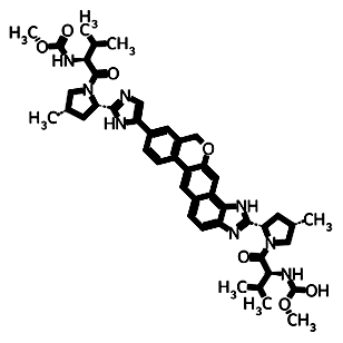 COC(=O)N[C@H](C(=O)N1C[C@@H](C)C[C@H]1c1ncc(-c2ccc3c(c2)COc2cc4c(ccc5nc([C@@H]6C[C@H](C)CN6C(=O)[C@@H](NC(O)OC)C(C)C)[nH]c54)cc2-3)[nH]1)C(C)C